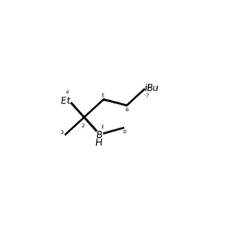 CBC(C)(CC)CCC(C)CC